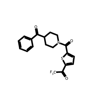 O=C(c1ccccc1)C1CCN(C(=O)c2ccc(C(=O)C(F)(F)F)s2)CC1